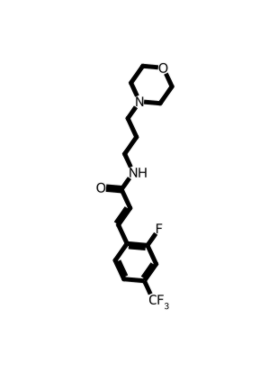 O=C(C=Cc1ccc(C(F)(F)F)cc1F)NCCCN1CCOCC1